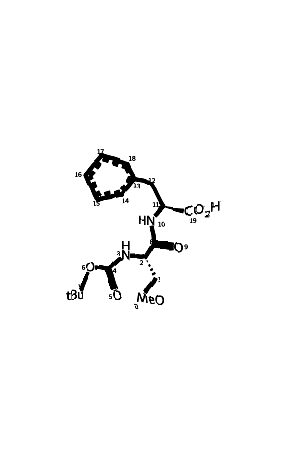 COC[C@H](NC(=O)OC(C)(C)C)C(=O)N[C@@H](Cc1ccccc1)C(=O)O